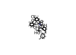 CN1CCN(Cc2ccc3[nH]/c(=N\C(=O)c4ccc(Cl)c(Oc5cccc(O)c5C=O)c4)n(CC(C)(C)O)c3c2)CC1